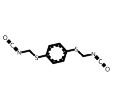 O=C=NCSc1ccc(SCN=C=O)cc1